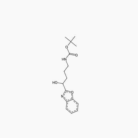 CC(C)(C)OC(=O)NCCCC(O)c1nc2ccccc2o1